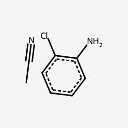 CC#N.Nc1ccccc1Cl